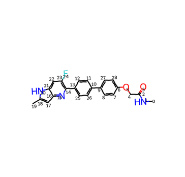 CNC(=O)COc1ccc(-c2ccc(-c3nc4cc(C)[nH]c4cc3F)cc2)cc1